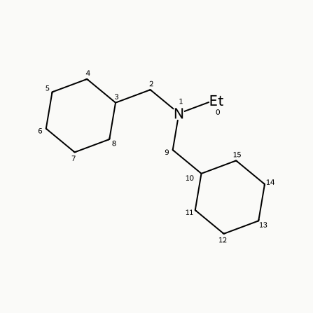 [CH2]CN(CC1CCCCC1)CC1CCCCC1